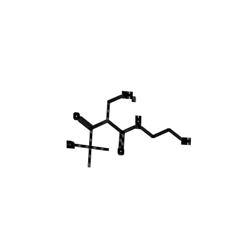 CCC(C)(C)C(=O)C(CN)C(=O)NCCS